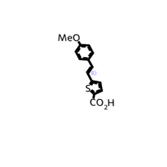 COc1ccc(/C=C/c2ccc(C(=O)O)s2)cc1